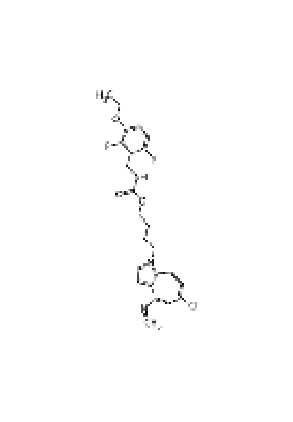 C=NC1=CC(Cl)=C=Cc2c1ccn2CCCCOC(=O)NCc1c(F)ccc(OCC)c1F